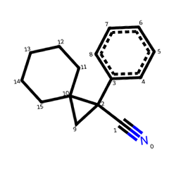 N#CC1(c2ccccc2)CC12CCCCC2